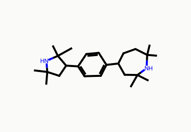 CC1(C)CCC(c2ccc(C3CC(C)(C)NC3(C)C)cc2)CC(C)(C)N1